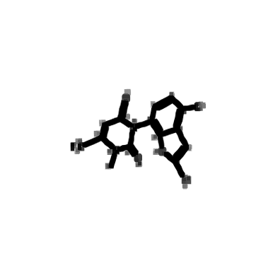 CCc1cc2c(Cl)ccc(-n3c(=O)cc(C(F)(F)F)n(C)c3=O)c2o1